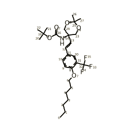 CCCCCCCOc1ccc(C=CC2(NC(=O)OC(C)(C)C)COC(C)(C)OC2)cc1C(F)(F)F